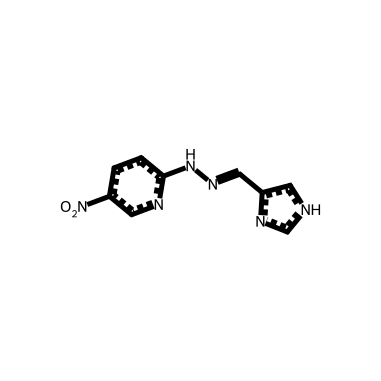 O=[N+]([O-])c1ccc(NN=Cc2c[nH]cn2)nc1